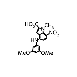 COc1cc(Nc2ccc([N+](=O)[O-])c3c2cc(C(=O)O)n3C)cc(OC)c1